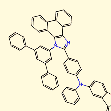 c1ccc(-c2cc(-c3ccccc3)cc(-n3c(-c4ccc(N(c5ccccc5)c5ccc6oc7ccccc7c6c5)cc4)nc4c5ccccc5c5ccccc5c43)c2)cc1